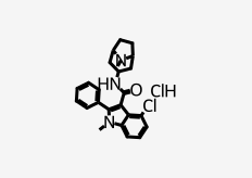 CN1C2CCC1CC(NC(=O)c1c(-c3ccccc3)n(C)c3cccc(Cl)c13)C2.Cl